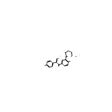 O=c1c(-c2ccc(O)cc2)coc2c([C@]3(O)O[C@@H](CO)[C@H](O)[C@@H](O)[C@@H]3O)c(O)ccc12